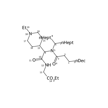 CCCCCCCCCCCCC(=O)N(C(CCCCCCC)CCCCCCC)C(C(=O)NCC(=O)OCC)C1CCN(CC)CC1